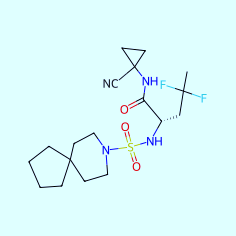 CC(F)(F)C[C@H](NS(=O)(=O)N1CCC2(CCCC2)CC1)C(=O)NC1(C#N)CC1